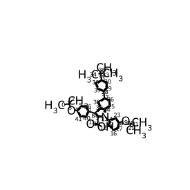 CC(C)Oc1ccc(-c2c(C(=O)O)n(-c3cccc(OC(C)C)c3)c3ccc(-c4ccc(C(C)(C)C)cc4)cc23)cc1